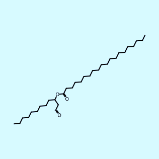 CCCCCCCCCCCCCCCCCCCC(=O)OC(C[C]=O)CCCCCCCCC